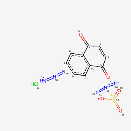 Cl.O=C1C=CC(=O)c2ccccc21.O=[SH](=O)O.[N-]=[N+]=N.[N-]=[N+]=[N-]